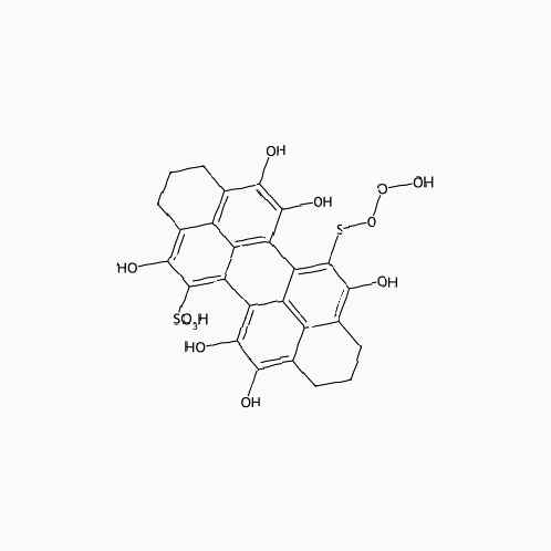 O=S(=O)(O)c1c(O)c2c3c(c(O)c(O)c4c5c(SOOO)c(O)c6c7c(c(O)c(O)c(c1c34)c75)CCC6)CCC2